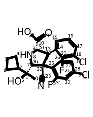 CC(O)(C1CCC1)[C@@H]1N[C@H](C(=O)O)[C@@H](c2cccc(Cl)c2F)[C@]1(C#N)c1ccc(Cl)cc1F